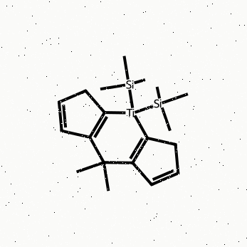 CC1(C)C2=[C](CC=C2)[Ti]([Si](C)(C)C)([Si](C)(C)C)[C]2=C1C=CC2